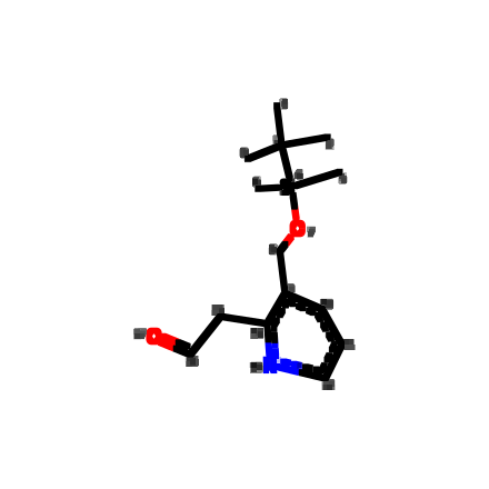 CC(C)(C)[Si](C)(C)OCc1cccnc1CC=O